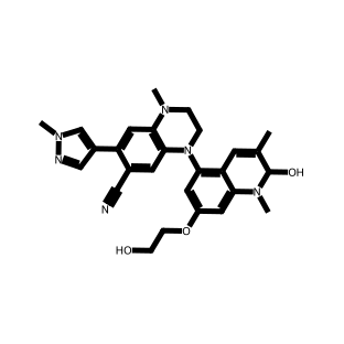 CC1=Cc2c(N3CCN(C)c4cc(-c5cnn(C)c5)c(C#N)cc43)cc(OCCO)cc2N(C)C1O